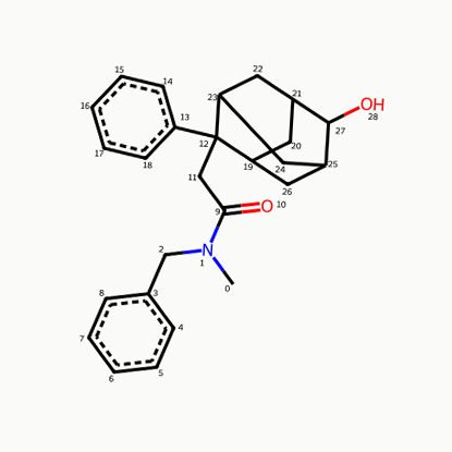 CN(Cc1ccccc1)C(=O)CC1(c2ccccc2)C2CC3CC1CC(C2)C3O